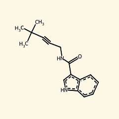 CC(C)(C)C#CCNC(=O)c1c[nH]c2ccccc12